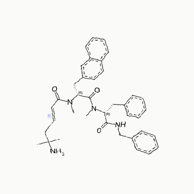 CN(C(=O)/C=C/CC(C)(C)N)[C@H](Cc1ccc2ccccc2c1)C(=O)N(C)[C@H](Cc1ccccc1)C(=O)NCc1ccccc1